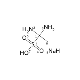 CC(N)(N)S(=O)(=O)O.[NaH]